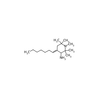 CCCCCCC=C1CC(C)(C)N(C)C(C)(C)C1N